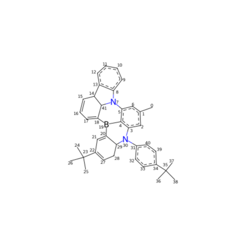 Cc1cc2c3c(c1)N1c4ccccc4C4C=CC=C(B3C3=CC(C(C)(C)C)=CCC3N2c2ccc(C(C)(C)C)cc2)C41